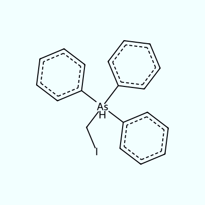 IC[AsH](c1ccccc1)(c1ccccc1)c1ccccc1